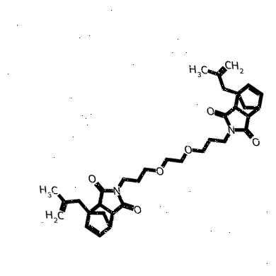 C=C(C)CC12C=CC(C1)C1C(=O)N(CCCOCCOCCCN3C(=O)C4C5C=CC(CC(=C)C)(C5)C4C3=O)C(=O)C12